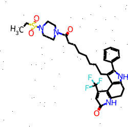 CCS(=O)(=O)N1CCN(C(=O)CCCCCCCc2c(-c3ccccc3)[nH]c3c2-c2c(C(F)(F)F)cc(=O)[nH]c2CC3)CC1